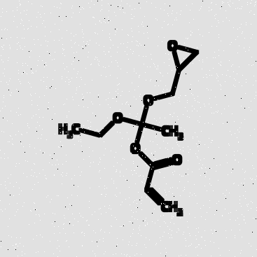 C=CC(=O)OC(C)(OCC)OCC1CO1